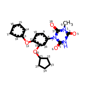 Cn1c(=O)[nH]c(=O)n(-c2ccc(Oc3ccccc3)c(OC3CCCC3)c2)c1=O